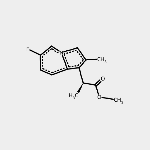 COC(=O)[C@@H](C)c1c(C)cn2cc(F)ccc12